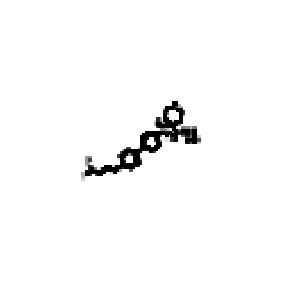 O=C(NO)C1(S(=O)(=O)c2ccc(-c3ccc(CCCC(F)F)cc3)cc2)CCOCC1